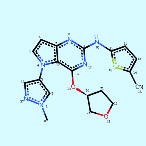 Cn1cc(-n2ccc3nc(Nc4ccc(C#N)s4)nc(O[C@H]4CCOC4)c32)cn1